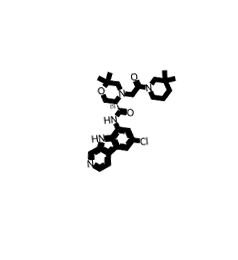 CC1(C)CCCN(C(=O)CN2CC(C)(C)OC[C@H]2C(=O)Nc2cc(Cl)cc3c2[nH]c2cnccc23)C1